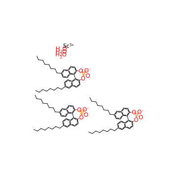 CCCCCCCCc1ccc2c3c(ccc2c1)OP(=O)([O-])Oc1ccc2cc(CCCCCCCC)ccc2c1-3.CCCCCCCCc1ccc2c3c(ccc2c1)OP(=O)([O-])Oc1ccc2cc(CCCCCCCC)ccc2c1-3.CCCCCCCCc1ccc2c3c(ccc2c1)OP(=O)([O-])Oc1ccc2cc(CCCCCCCC)ccc2c1-3.O.O.O.[Sc+3]